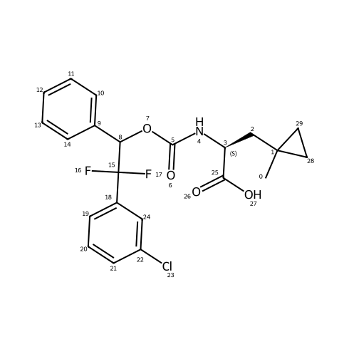 CC1(C[C@H](NC(=O)OC(c2ccccc2)C(F)(F)c2cccc(Cl)c2)C(=O)O)CC1